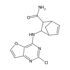 NC(=O)C1C2C=CC(C2)C1Nc1nc(Cl)nc2ccoc12